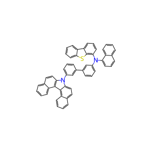 c1cc(-c2cccc(-n3c4ccc5ccccc5c4c4c5ccccc5ccc43)c2)cc(N(c2cccc3ccccc23)c2cccc3c2sc2ccccc23)c1